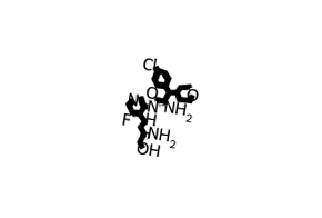 N[C@H](CO)CCc1c(F)cncc1NC(=O)[C@@H](N)C(c1ccc(Cl)cc1)C1CCOCC1